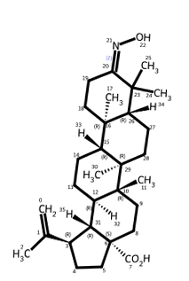 C=C(C)[C@@H]1CC[C@]2(C(=O)O)CC[C@]3(C)[C@H](CC[C@@H]4[C@@]5(C)CC/C(=N/O)C(C)(C)[C@@H]5CC[C@]43C)[C@@H]12